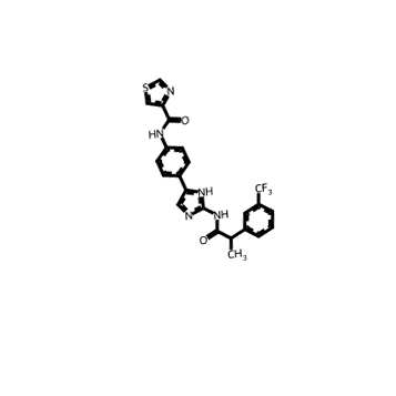 CC(C(=O)Nc1ncc(-c2ccc(NC(=O)c3cscn3)cc2)[nH]1)c1cccc(C(F)(F)F)c1